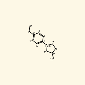 CCc1ccc(N2CCC(C)C2)cc1